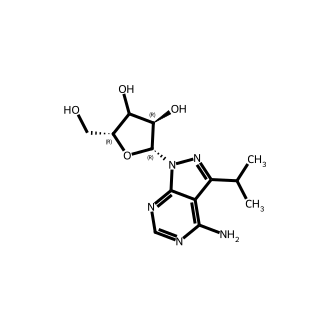 CC(C)c1nn([C@@H]2O[C@H](CO)C(O)[C@H]2O)c2ncnc(N)c12